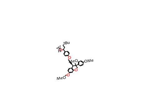 COCOc1ccc2c(c1)OCC(C)(c1ccc(OC)cc1OC)C2C#CCOc1ccc(C(CCC(C)(C)C)O[SiH](C)C)cc1